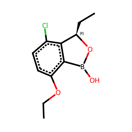 CCOc1ccc(Cl)c2c1B(O)O[C@@H]2CC